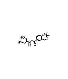 CC(C)CC(CO)NCC(=O)c1ccc2c(c1)COC(C)(C)O2